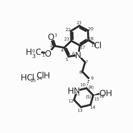 COC(=O)c1cn(CCC[C@H]2NCCC[C@@H]2O)c2c(Cl)cccc12.Cl.Cl